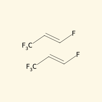 F/C=C/C(F)(F)F.F/C=C/C(F)(F)F